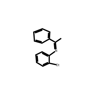 CCc1ccccc1N=C(C)c1ccccc1